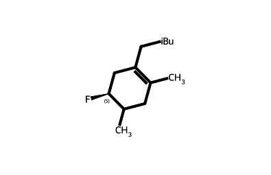 CCC(C)CC1=C(C)CC(C)[C@@H](F)C1